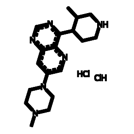 CC1CNCCC1c1ncnc2cc(N3CCN(C)CC3)cnc12.Cl.Cl